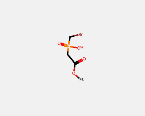 CCOC(=O)CP(=O)(O)CBr